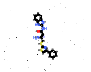 N/C(=C\C(=O)Nc1nc2ccccc2[nH]1)CSc1nc(-c2ccccc2)cs1